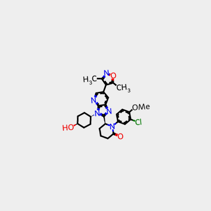 COc1ccc(N2C(=O)CCC[C@H]2c2nc3cc(-c4c(C)noc4C)cnc3n2[C@H]2CC[C@H](O)CC2)cc1Cl